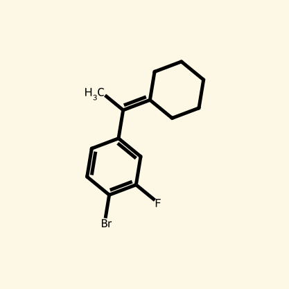 CC(=C1CCCCC1)c1ccc(Br)c(F)c1